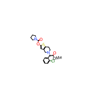 COC(=O)[C@H](c1ccccc1Cl)N1CCc2sc(OC(=O)N3CCCC3)cc2C1